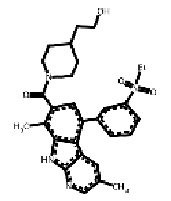 CCS(=O)(=O)c1cccc(-c2cc(C(=O)N3CCC(CCO)CC3)c(C)c3[nH]c4ncc(C)cc4c23)c1